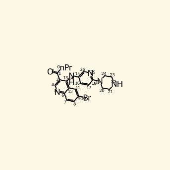 CCCC(=O)c1cnc2ccc(Br)cc2c1Nc1ccc(N2CCNCC2)nc1